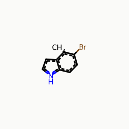 Brc1ccc2[nH]ccc2c1.C